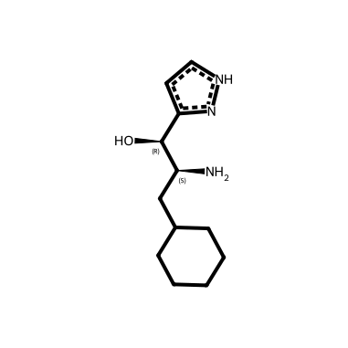 N[C@@H](CC1CCCCC1)[C@@H](O)c1cc[nH]n1